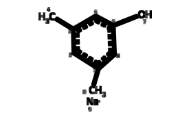 Cc1cc(C)cc(O)c1.[Na]